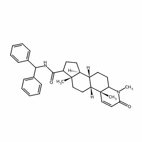 CN1C(=O)C=C[C@@]2(C)C1CC[C@@H]1[C@H]2CC[C@]2(C)C(C(=O)NC(c3ccccc3)c3ccccc3)CC[C@@H]12